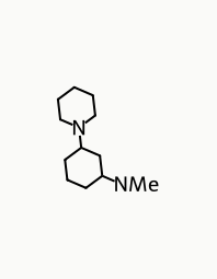 CNC1CCCC(N2CCCCC2)C1